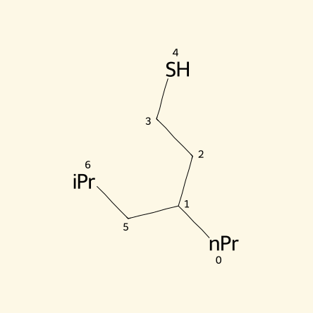 CCCC(CCS)CC(C)C